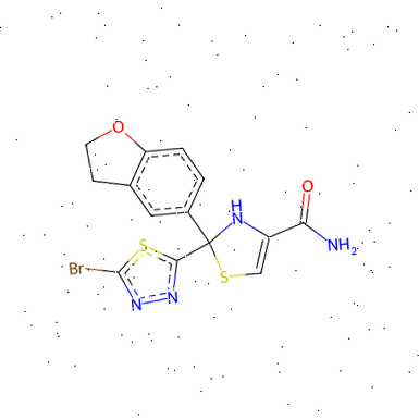 NC(=O)C1=CSC(c2ccc3c(c2)CCO3)(c2nnc(Br)s2)N1